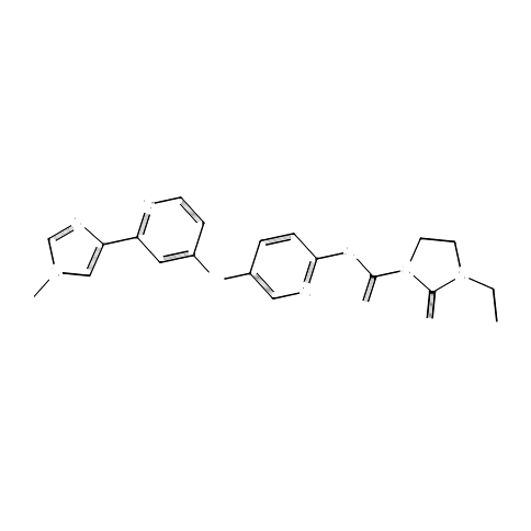 CCN1CCN(C(=O)Nc2ccc(Oc3ccnc(-c4cn(C)cn4)c3)cn2)C1=O